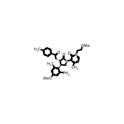 COCCn1ccc(C)c(N2C[C@@H](c3c(C)cc(OC)cc3P)[C@H](CC(=O)c3ccc(C)cc3)C2=O)c1=O